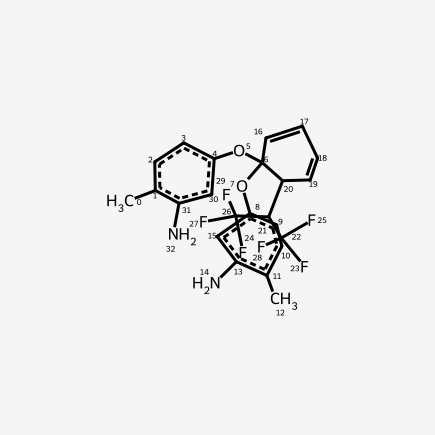 Cc1ccc(OC2(Oc3ccc(C)c(N)c3)C=CC=CC2C(C(F)(F)F)C(F)(F)F)cc1N